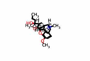 CCCC(C)(O)[C@H]1C[C@@]23C=C[C@]1(OC)[C@@H]1Oc4c(OC)ccc5c4[C@@]12CCN(C)[C@@H]3C5